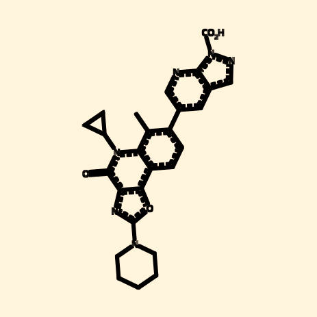 Cc1c(-c2cnc3c(cnn3C(=O)O)c2)ccc2c3oc(N4CCCCC4)nc3c(=O)n(C3CC3)c12